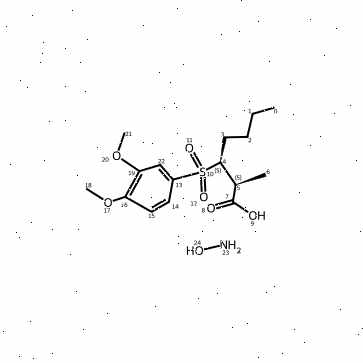 CCCC[C@@H]([C@@H](C)C(=O)O)S(=O)(=O)c1ccc(OC)c(OC)c1.NO